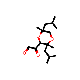 CC(C)CC1(C)COC(C)(CC(C)C)C(C(=O)C=O)O1